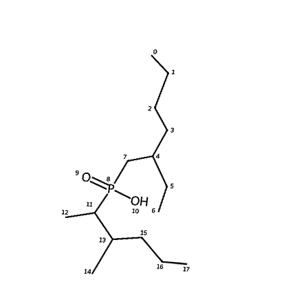 CCCCC(CC)CP(=O)(O)C(C)C(C)CCC